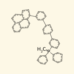 C=P(c1ccccc1)(c1ccccc1)c1cccc(-c2ccc(-c3cccc(-c4ccc5ccc6cccc7ccc4c5c67)c3)cc2)c1